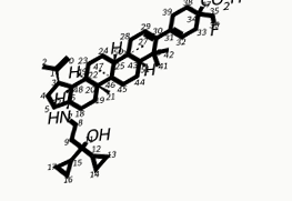 C=C(C)[C@@H]1CC[C@]2(NCCC(O)(C3CC3)C3CC3)CC[C@]3(C)[C@H](CC[C@@H]4[C@@]5(C)CC=C(C6=CCC(CF)(C(=O)O)CC6)C(C)(C)[C@@H]5CC[C@]43C)[C@@H]12